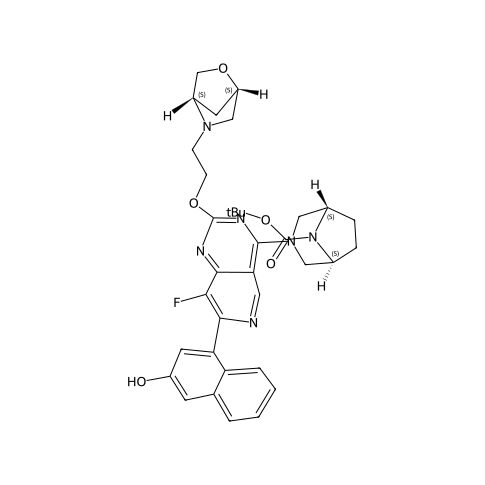 CC(C)(C)OC(=O)N1[C@H]2CC[C@H]1CN(c1nc(OCCN3C[C@@H]4C[C@H]3CO4)nc3c(F)c(-c4cc(O)cc5ccccc45)ncc13)C2